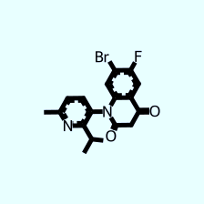 Cc1ccc(N2C(=O)CC(=O)c3cc(F)c(Br)cc32)c(C(C)C)n1